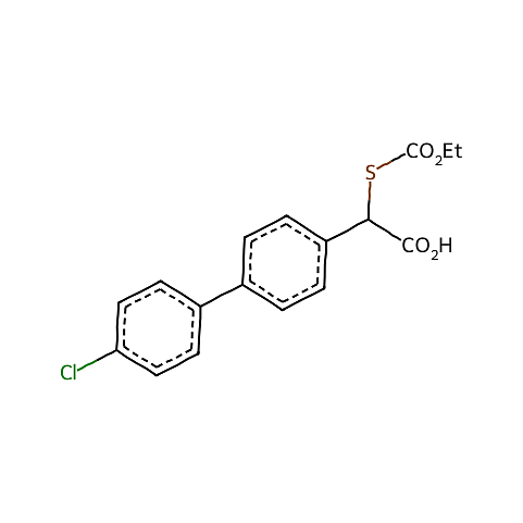 CCOC(=O)SC(C(=O)O)c1ccc(-c2ccc(Cl)cc2)cc1